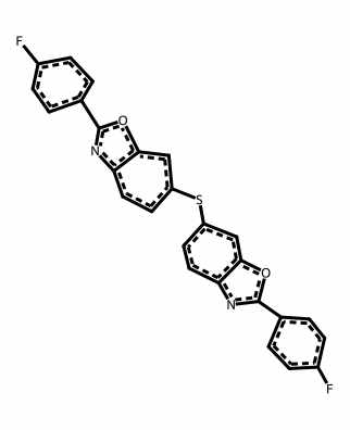 Fc1ccc(-c2nc3ccc(Sc4ccc5nc(-c6ccc(F)cc6)oc5c4)cc3o2)cc1